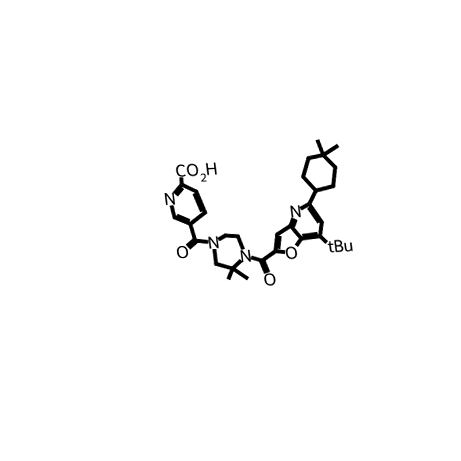 CC1(C)CCC(c2cc(C(C)(C)C)c3oc(C(=O)N4CCN(C(=O)c5ccc(C(=O)O)nc5)CC4(C)C)cc3n2)CC1